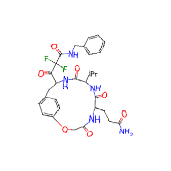 CC(C)C1NC(=O)C(CCC(N)=O)NC(=O)COc2ccc(cc2)CC(C(=O)C(F)(F)C(=O)NCc2ccccc2)NC1=O